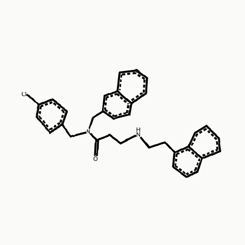 O=C(CCNCCc1cccc2ccccc12)N(Cc1ccc(Cl)cc1)Cc1ccc2ccccc2c1